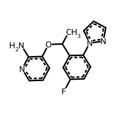 CC(Oc1cccnc1N)c1cc(F)ccc1-n1cccn1